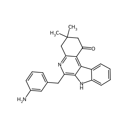 CC1(C)CC(=O)c2c(nc(Cc3cccc(N)c3)c3[nH]c4ccccc4c23)C1